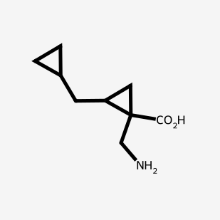 NCC1(C(=O)O)CC1CC1CC1